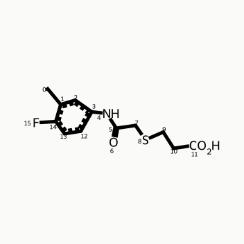 [CH2]c1cc(NC(=O)CSCCC(=O)O)ccc1F